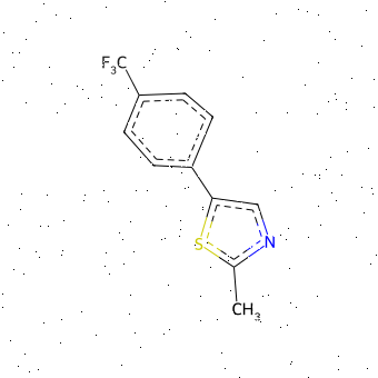 Cc1ncc(-c2ccc(C(F)(F)F)cc2)s1